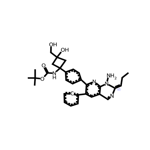 CC/C=C1/N=Cc2cc(-c3ccccc3)c(-c3ccc(C4(NC(=O)OC(C)(C)C)CC(O)(CO)C4)cc3)nc2N1N